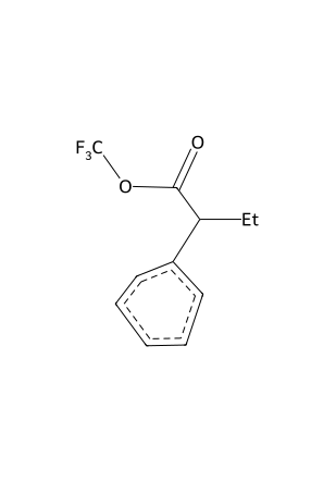 CCC(C(=O)OC(F)(F)F)c1ccccc1